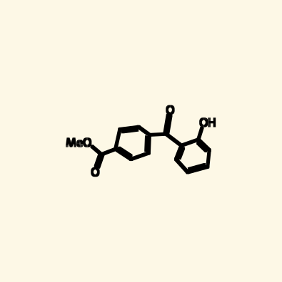 COC(=O)c1ccc(C(=O)c2ccccc2O)cc1